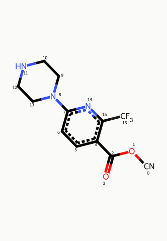 N#COC(=O)c1ccc(N2CCNCC2)nc1C(F)(F)F